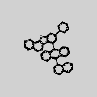 c1ccc(-c2cc(-c3c4ccccc4c(-c4cccc5ccccc45)c4ccccc34)c3c(c2)oc2c4ccccc4ccc23)cc1